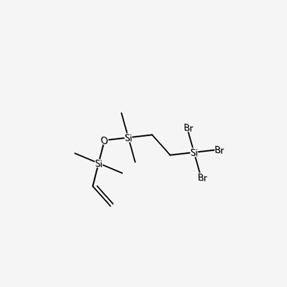 C=C[Si](C)(C)O[Si](C)(C)CC[Si](Br)(Br)Br